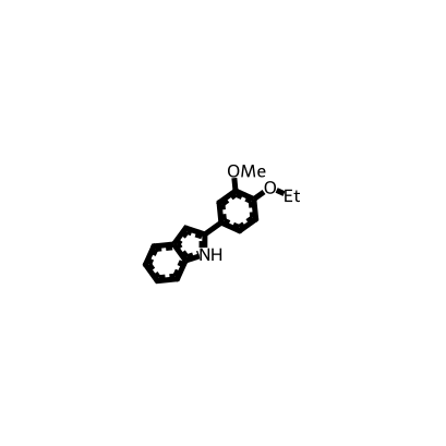 CCOc1ccc(-c2cc3ccccc3[nH]2)cc1OC